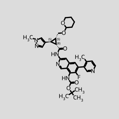 Cc1ccncc1-c1cc2cc(NC(=O)[C@H]3[C@@H](COC4CCCCO4)[C@@H]3c3cnn(C)c3)ncc2c(NC(=O)OC(C)(C)C)c1F